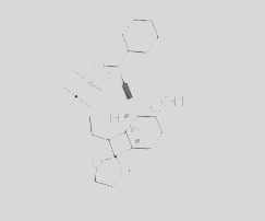 CCC1[C@H]2[C@H](C#C[C@@H](O[Si](C)(C)C(C)(C)C)C3CCCCC3)[C@@H](O)CC[C@@]2(C)C12OCCO2